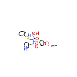 CC#CCOc1ccc(S(=O)(=O)N(Cc2cccnc2)C(CSCc2ccccc2)C(=O)NO)cc1